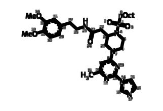 CCCCCCCCS(=O)(=O)N1CCN(c2cc(C)nc(-n3ccnc3)n2)CC1CC(=O)NCCc1ccc(OC)c(OC)c1